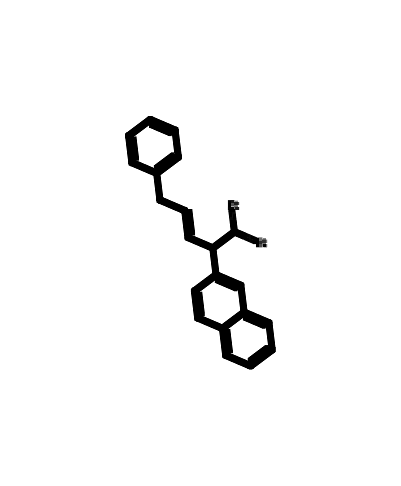 CCC(CC)C(/C=C/Cc1ccccc1)c1ccc2ccccc2c1